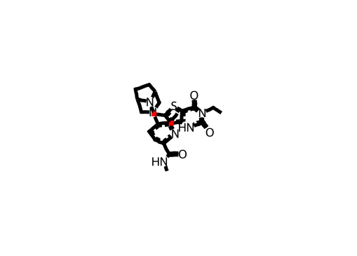 CCn1c(=O)[nH]c2cc(CN3C4CCC3CN(c3ccc(C(=O)NC)nc3C)C4)sc2c1=O